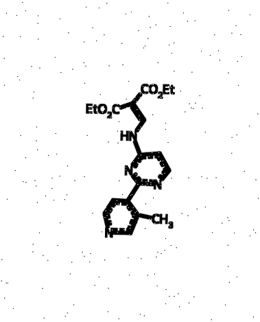 CCOC(=O)C(=CNc1ccnc(-c2ccncc2C)n1)C(=O)OCC